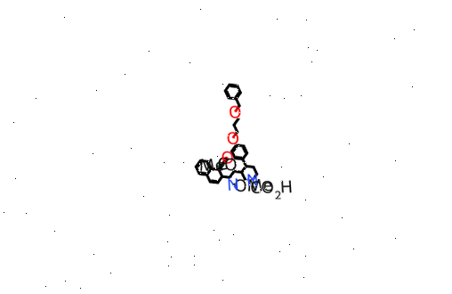 CON=C(C1C=Cc2ccccc2C1=C=O)C(OC)C1CN(C(=O)O)CCC1c1ccc(OCCCOCc2ccccc2)cc1